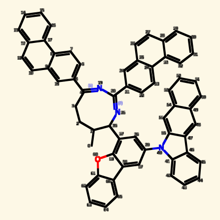 CC1CC/C(c2ccc3c(ccc4ccccc43)c2)=N\C(c2ccc3c(ccc4ccccc43)c2)=N/C1c1cc(-n2c3ccccc3c3cc4ccccc4cc32)cc2c1oc1ccccc12